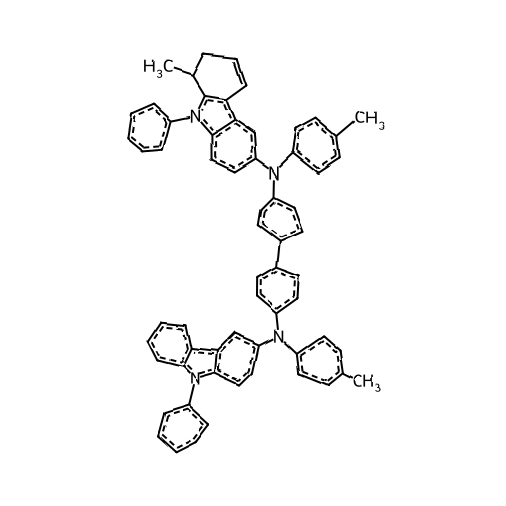 Cc1ccc(N(c2ccc(-c3ccc(N(c4ccc(C)cc4)c4ccc5c(c4)c4ccccc4n5-c4ccccc4)cc3)cc2)c2ccc3c(c2)c2c(n3-c3ccccc3)C(C)CC=C2)cc1